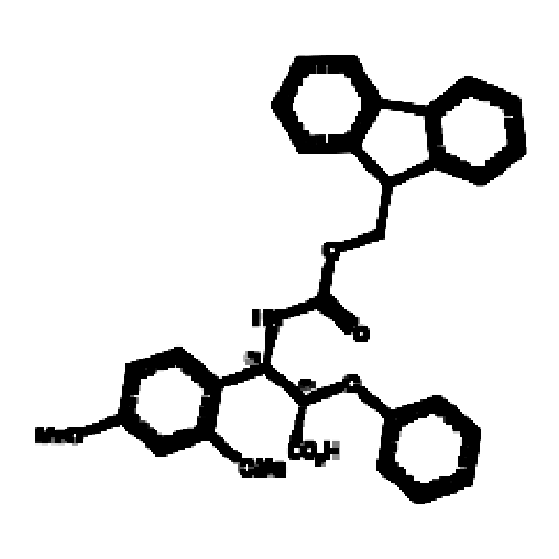 COc1ccc([C@@H](NC(=O)OCC2c3ccccc3-c3ccccc32)[C@H](Oc2ccccc2)C(=O)O)c(OC)c1